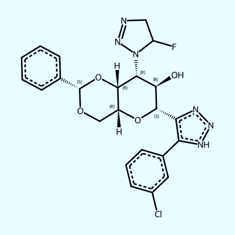 O[C@@H]1[C@@H](N2N=NCC2F)[C@H]2O[C@@H](c3ccccc3)OC[C@H]2O[C@H]1c1nn[nH]c1-c1cccc(Cl)c1